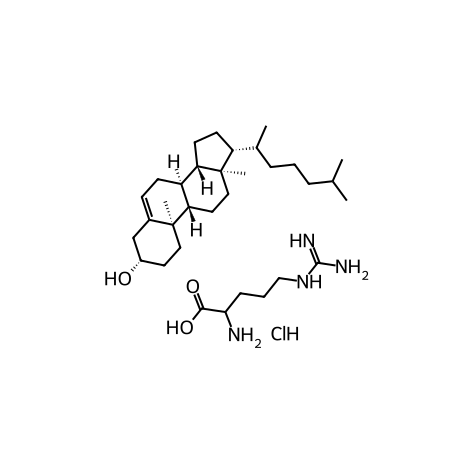 CC(C)CCCC(C)[C@H]1CC[C@H]2[C@@H]3CC=C4C[C@@H](O)CC[C@]4(C)[C@H]3CC[C@]12C.Cl.N=C(N)NCCCC(N)C(=O)O